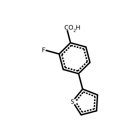 O=C(O)c1ccc(-c2cccs2)cc1F